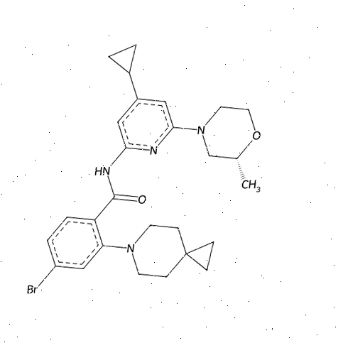 C[C@@H]1CN(c2cc(C3CC3)cc(NC(=O)c3ccc(Br)cc3N3CCC4(CC3)CC4)n2)CCO1